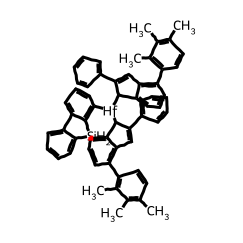 Cc1ccc(-c2cccc3c2C=C(c2ccccc2)[CH]3[Hf]([c]2cccc3c2[SiH2]c2ccccc2-3)[CH]2C(c3ccccc3)=Cc3c(-c4ccc(C)c(C)c4C)cccc32)c(C)c1C